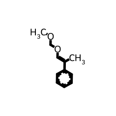 COCOC=C(C)c1ccccc1